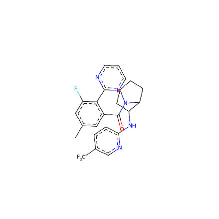 Cc1cc(F)c(-c2ncccn2)c(C(=O)N2C3CCC2C(Nc2ccc(C(F)(F)F)cn2)C3)c1